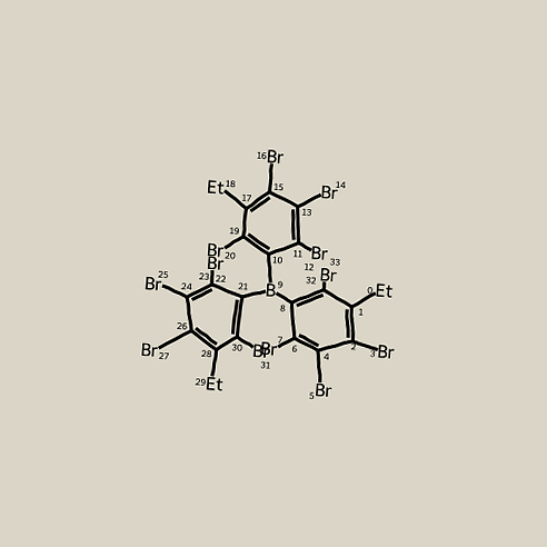 CCc1c(Br)c(Br)c(Br)c(B(c2c(Br)c(Br)c(Br)c(CC)c2Br)c2c(Br)c(Br)c(Br)c(CC)c2Br)c1Br